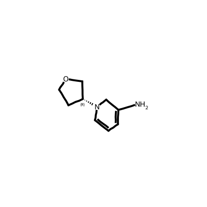 NC1=CC=CN([C@@H]2CCOC2)C1